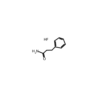 F.NC(=O)CCc1ccccc1